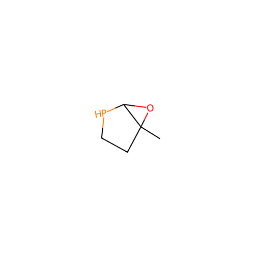 CC12CCPC1O2